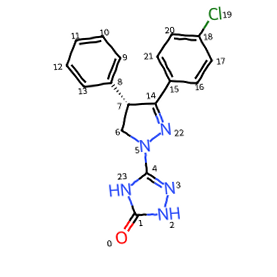 O=c1[nH]nc(N2C[C@H](c3ccccc3)C(c3ccc(Cl)cc3)=N2)[nH]1